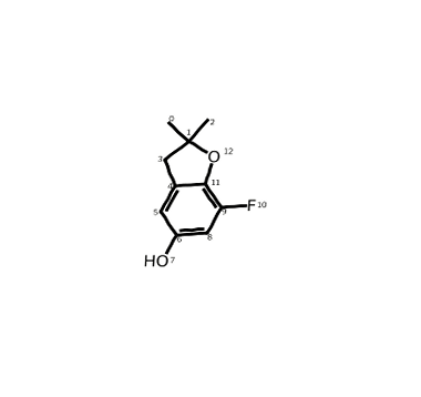 CC1(C)Cc2cc(O)cc(F)c2O1